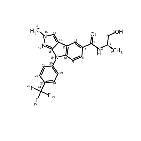 C[C@H](CO)NC(=O)c1ccc2c(c1)c1cn(C)nc1n2-c1ccc(C(F)(F)F)cc1